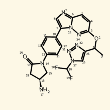 CC(Oc1ccc2ncc(-c3ccc(N4C[C@@H](N)CC4=O)cc3)n2n1)c1cn(C(F)F)nn1